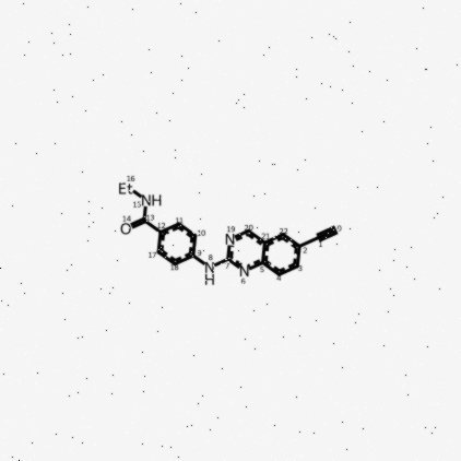 C#Cc1ccc2nc(Nc3ccc(C(=O)NCC)cc3)ncc2c1